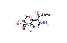 COC(=O)c1c(N)cc(F)c2c1OCC1C2C1(Br)Br